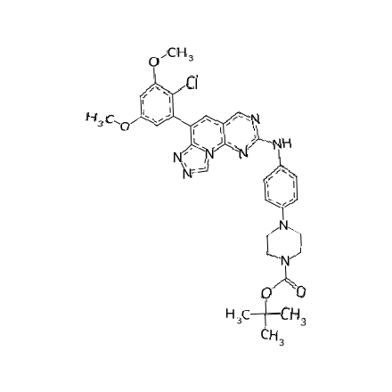 COc1cc(OC)c(Cl)c(-c2cc3cnc(Nc4ccc(N5CCN(C(=O)OC(C)(C)C)CC5)cc4)nc3n3cnnc23)c1